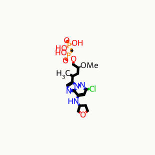 CO[C@H](COP(=O)(O)CP(=O)(O)O)CC(C)c1cnc2c(NC3CCOC3)cc(Cl)nn12